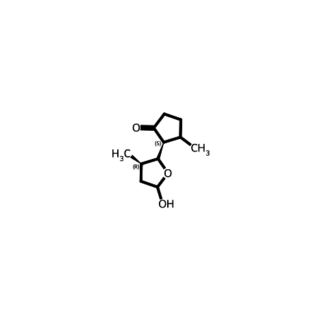 CC1CCC(=O)[C@@H]1C1OC(O)C[C@H]1C